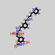 O=c1[nH]c2c(O)ccc(CC(O)(O)NCCc3cccc(CNCCCc4ccccn4)c3)c2s1